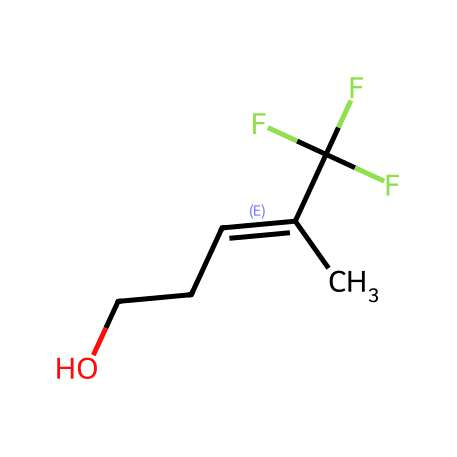 C/C(=C\CCO)C(F)(F)F